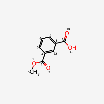 COC(=O)c1[c]ccc(C(=O)O)c1